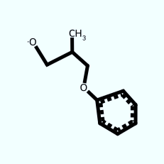 CC(C[O])COc1ccccc1